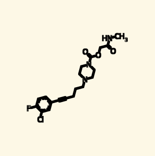 CNC(=O)COC(=O)N1CCN(CCCC#Cc2ccc(F)c(Cl)c2)CC1